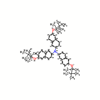 CC(C)(C)[Si](C)(C)Oc1ccc2cc(N(c3ccc4cc(O[Si](C)(C)C(C)(C)C)ccc4c3)c3ccc4cc(O[Si](C)(C)C(C)(C)C)ccc4c3)ccc2c1